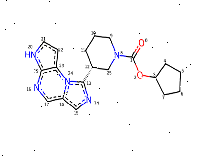 O=C(OC1CCCC1)N1CCC[C@@H](c2ncc3cnc4[nH]ccc4n23)C1